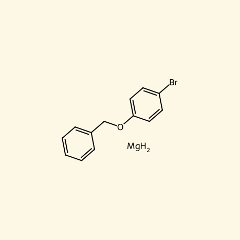 Brc1ccc(OCc2ccccc2)cc1.[MgH2]